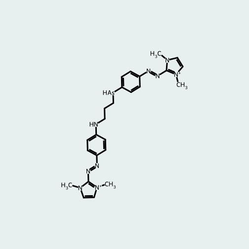 Cn1cc[n+](C)c1N=Nc1ccc(NCCC[AsH]c2ccc(N=Nc3n(C)cc[n+]3C)cc2)cc1